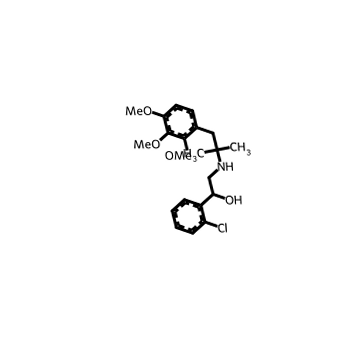 COc1ccc(CC(C)(C)NCC(O)c2ccccc2Cl)c(OC)c1OC